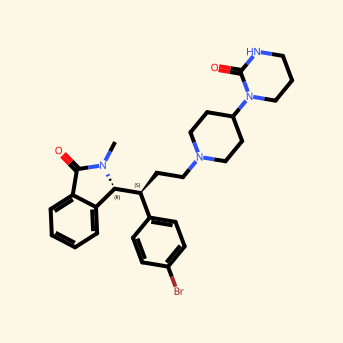 CN1C(=O)c2ccccc2[C@H]1[C@@H](CCN1CCC(N2CCCNC2=O)CC1)c1ccc(Br)cc1